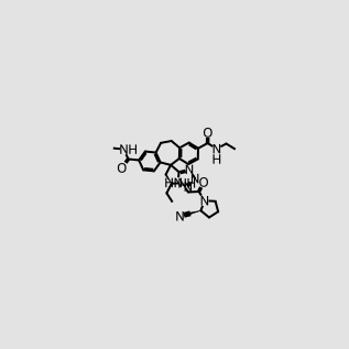 CCNC(=O)c1ccc2c(c1)CCc1cc(C(=O)NC)ccc1C2(C[C@H](CC)NCC(=O)N1CCC[C@H]1C#N)c1nnn[nH]1